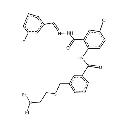 CCN(CC)CCSCc1cccc(C(=O)Nc2ccc(Cl)cc2C(=O)NN=Cc2cccc(F)c2)c1